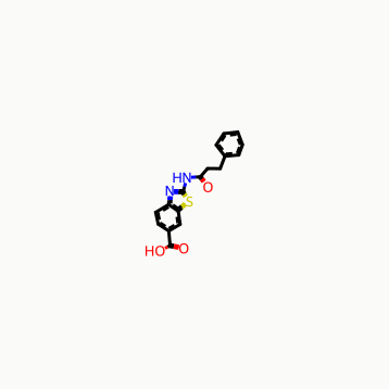 O=C(CCc1ccccc1)Nc1nc2ccc(C(=O)O)cc2s1